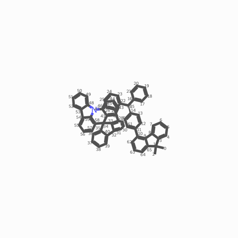 CC1(C)c2ccccc2-c2c(-c3ccc([C@H](c4ccccc4)c4ccccc4-c4cccc5c4C4(c6ccccc6-5)c5ccccc5-n5c6ccccc6c6cccc4c65)cc3)cccc21